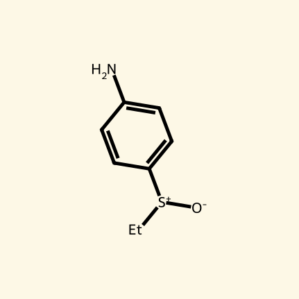 CC[S+]([O-])c1ccc(N)cc1